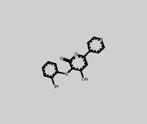 CC(C)c1ccccc1Sc1c(O)cc(-c2ccncc2)oc1=O